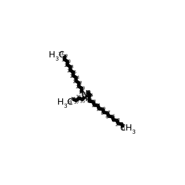 CCCCCCCCCCCCCCCn1cc[n+](CCCCCCCCCCCCCCC)c1CCCCC